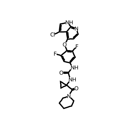 O=C(Nc1cc(F)c(Oc2ccnc3[nH]cc(Cl)c23)c(F)c1)NC1(C(=O)N2CCCCC2)CC1